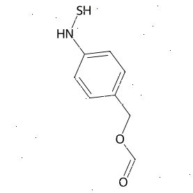 O=COCc1ccc(NS)cc1